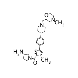 Cc1cc(-c2ccc(C3CCN(CC4CN(C)CCO4)CC3)cc2)sc1C(=O)N1CC[C@H](N)C1